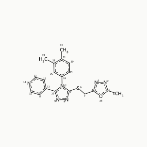 Cc1nnc(CSc2nnc(-c3ccncc3)n2-c2ccc(C)c(C)c2)o1